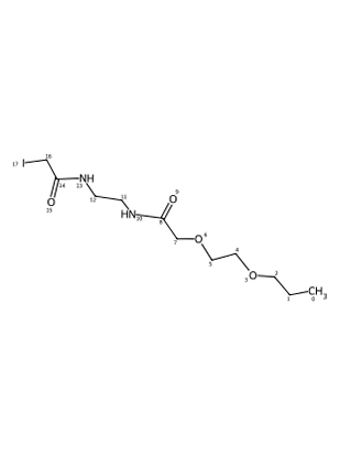 CCCOCCOCC(=O)NCCNC(=O)CI